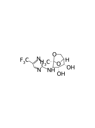 C[C@]12OC[C@H](O1)[C@H](O)[C@H](O)[C@@H]2Nc1cnc(C(F)(F)F)cn1